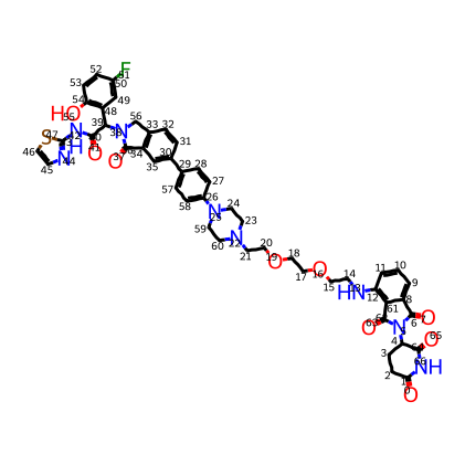 O=C1CCC(N2C(=O)c3cccc(NCCOCCOCCN4CCN(c5ccc(-c6ccc7c(c6)C(=O)N(C(C(=O)Nc6nccs6)c6cc(F)ccc6O)C7)cc5)CC4)c3C2=O)C(=O)N1